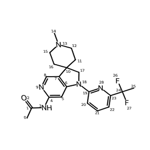 CC(=O)Nc1cc2c(cn1)C1(CCN(C)CC1)CN2c1cccc(C(C)(F)F)n1